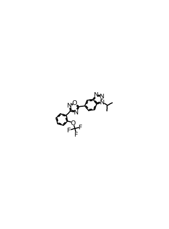 CC(C)n1nnc2cc(-c3nc(-c4ccccc4OC(F)(F)F)no3)ccc21